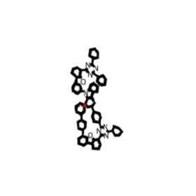 c1ccc(-c2ccc(-c3cccc4c3oc3c(-c5nc(-c6ccccc6)nc(-c6ccc(-c7ccc8c(c7)c7ccccc7n8-c7cccc8c7oc7c(-c9nc(-c%10ccccc%10)nc(-c%10ccccc%10)n9)cccc78)cc6)n5)cccc34)cc2)cc1